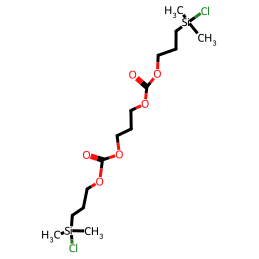 C[Si](C)(Cl)CCCOC(=O)OCCCOC(=O)OCCC[Si](C)(C)Cl